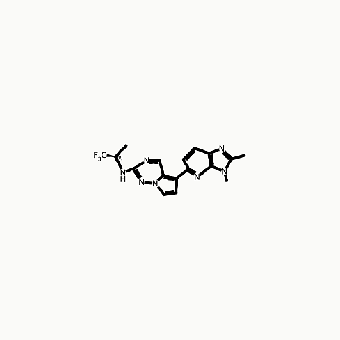 Cc1nc2ccc(-c3ccn4nc(N[C@H](C)C(F)(F)F)ncc34)nc2n1C